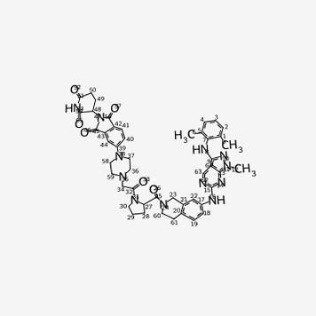 Cc1cccc(C)c1Nc1nn(C)c2nc(Nc3ccc4c(c3)CN(C(=O)C3CCCN3C(=O)CN3CCN(c5ccc6c(c5)C(=O)N(C5CCC(=O)NC5=O)C6=O)CC3)CC4)ncc12